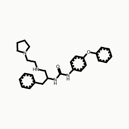 O=C(Nc1ccc(Oc2ccccc2)cc1)NC(CNCCN1CCCC1)Cc1ccccc1